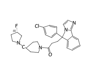 O=C(CCC1(c2ccc(Cl)cc2)c2ccccc2-c2nccn21)N1CCC(CN2CC[C@H](F)C2)CC1